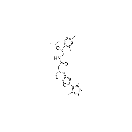 Cc1ccc(C(CNC(=O)Cc2ccc3oc(-c4c(C)noc4C)cc3c2)OC(C)C)c(C)c1